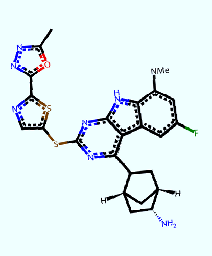 CNc1cc(F)cc2c1[nH]c1nc(Sc3cnc(-c4nnc(C)o4)s3)nc(C3C[C@H]4C[C@@H]3C[C@H]4N)c12